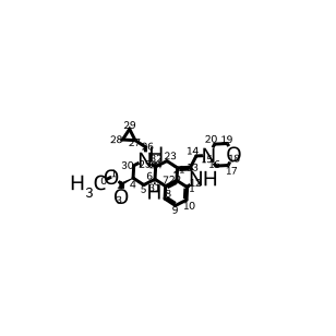 COC(=O)[C@@H]1C[C@@H]2c3cccc4[nH]c(CN5CCOCC5)c(c34)C[C@H]2N(CC2CC2)C1